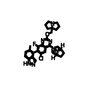 Cc1ccc2[nH]ncc2c1-c1c(Cl)cc2c(N3C[C@H]4CC[C@@H](C3)N4)nc(OCC34CCCN3CCC4)nc2c1F